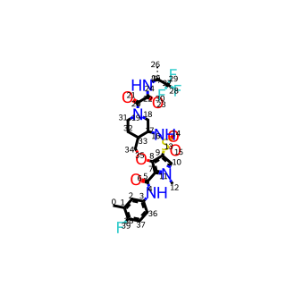 Cc1cc(NC(=O)c2c3c(cn2C)S(=O)(=O)NC2CN(C(=O)C(=O)N[C@H](C)C(F)(F)F)CCC2CO3)ccc1F